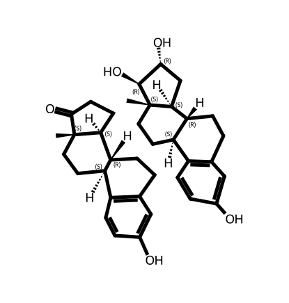 C[C@]12CC[C@@H]3c4ccc(O)cc4CC[C@H]3[C@@H]1CCC2=O.C[C@]12CC[C@@H]3c4ccc(O)cc4CC[C@H]3[C@@H]1C[C@@H](O)[C@@H]2O